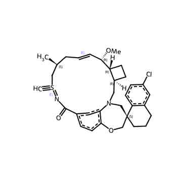 C#S1=N\C(=O)c2ccc3c(c2)N(C[C@@H]2CC[C@H]2[C@@H](OC)/C=C/C[C@H](C)C/1)C[C@@]1(CCCc2cc(Cl)ccc21)CO3